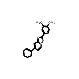 COc1ccc(-c2nc3cc(C4=CCCCC4)ccn3n2)cc1OC